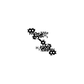 CN[C@@H](C)C(=O)N[C@@H](CC#Cc1ccc(C[C@H](NC(=O)[C@H](C)NC)C(=O)N2CCC[C@H]2C(=O)N[C@@H]2CCCc3ccccc32)cc1)C(=O)N1CCC[C@H]1C(=O)NC1CCCc2ccccc21